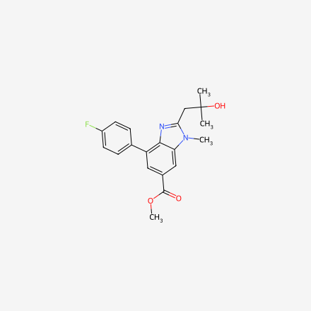 COC(=O)c1cc(-c2ccc(F)cc2)c2nc(CC(C)(C)O)n(C)c2c1